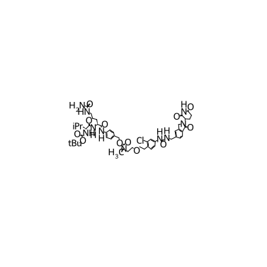 CC(C)[C@H](NC(=O)OC(C)(C)C)C(=O)N[C@@H](CCCNC(N)=O)C(=O)Nc1ccc(COC(=O)N(C)CCOCCc2ccc(NC(=O)NCc3ccc4c(c3)CN(C3CCC(=O)NC3=O)C4=O)cc2Cl)cc1